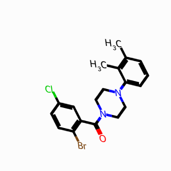 Cc1cccc(N2CCN(C(=O)c3cc(Cl)ccc3Br)CC2)c1C